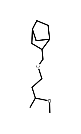 COC(C)CCOCC1CC2CCC1C2